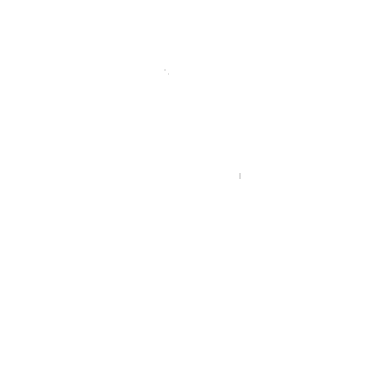 Br.NC1=NN=C(CCCCC(=O)Nc2ccccc2)CS1